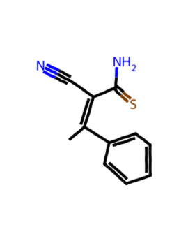 C/C(=C(\C#N)C(N)=S)c1ccccc1